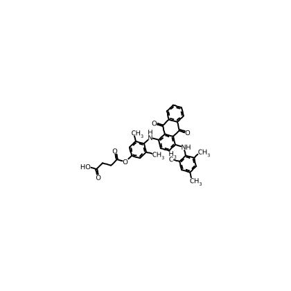 Cc1cc(C)c(Nc2ccc(Nc3c(C)cc(OC(=O)CCC(=O)O)cc3C)c3c2C(=O)c2ccccc2C3=O)c(C)c1